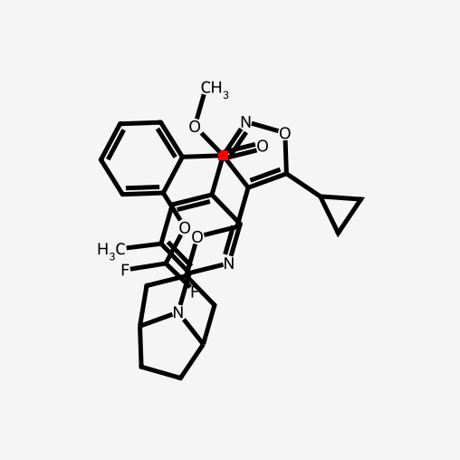 COC(=O)c1cnc(N2C3CCC2CC(OCc2c(-c4ccccc4OC(F)F)noc2C2CC2)C3)c(C)c1